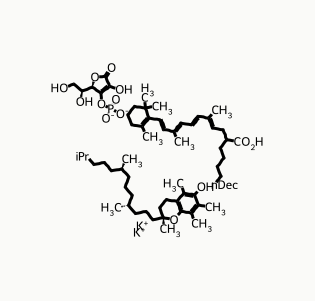 CCCCCCCCCCCCCCC(CC=C(C)C=CC=C(C)C=CC1=C(C)CCCC1(C)C)C(=O)O.Cc1c(C)c2c(c(C)c1O)CC[C@@](C)(CCC[C@H](C)CCC[C@H](C)CCCC(C)C)O2.O=C1O[C@H]([C@@H](O)CO)C(OP(=O)([O-])[O-])=C1O.[K+].[K+]